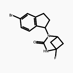 O=C1NC2(F)CC(C2)N1C1CCc2cc(Br)ccc21